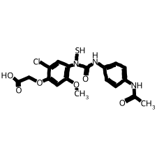 COc1cc(OCC(=O)O)c(Cl)cc1N(S)C(=O)Nc1ccc(NC(C)=O)cc1